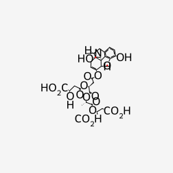 C[C@H](OC(=O)[C@H](CC(=O)OC1=CC[C@@]2(O)[C@H]3Cc4ccc(O)c5c4[C@@]2(CCN3C)[C@H]1O5)OC(=O)C[C@H](O)C(=O)O)C(=O)O[C@@H](CC(=O)O)C(=O)O